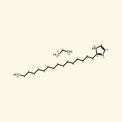 CCCCCCCCCCCCCCCCc1ncc[nH]1.CCO